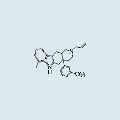 C=CCN1CCC2(c3cccc(O)c3)Cc3[nH]c4c(C)cccc4c3CC2C1